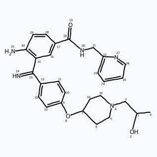 CC(O)CN1CCC(Oc2ccc(C(=N)c3cc(C(=O)NCc4ccccn4)ccc3N)cc2)CC1